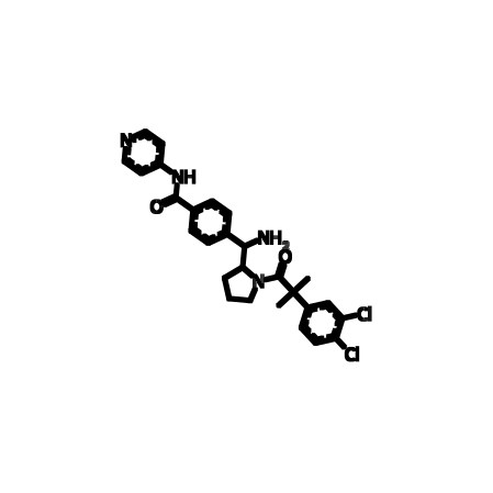 CC(C)(C(=O)N1CCCC1C(N)c1ccc(C(=O)Nc2ccncc2)cc1)c1ccc(Cl)c(Cl)c1